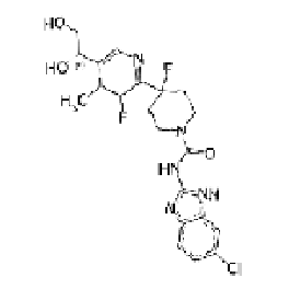 CC1C([C@H](O)CO)=CN=C(C2(F)CCN(C(=O)Nc3nc4ccc(Cl)cc4[nH]3)CC2)C1F